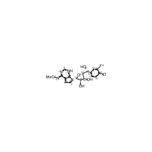 CON=c1nc[nH]c2c1ccn2[C@@H]1O[C@H]([C@H](O)c2ccc(Cl)c(F)c2)[C@@H](O)[C@H]1O